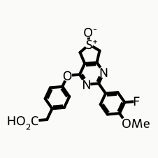 COc1ccc(-c2nc3c(c(Oc4ccc(CC(=O)O)cc4)n2)C[S+]([O-])C3)cc1F